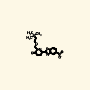 C[Si](C)(C)CCOCn1nc(-c2nc3cc([N+](=O)[O-])ccc3o2)ccc1=O